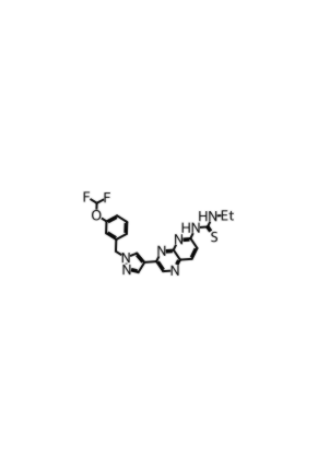 CCNC(=S)Nc1ccc2ncc(-c3cnn(Cc4cccc(OC(F)F)c4)c3)nc2n1